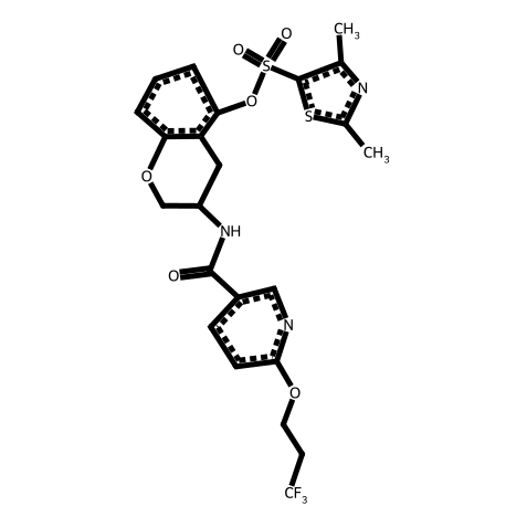 Cc1nc(C)c(S(=O)(=O)Oc2cccc3c2CC(NC(=O)c2ccc(OCCC(F)(F)F)nc2)CO3)s1